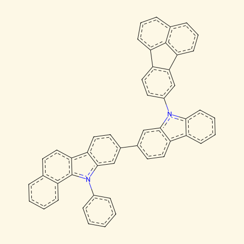 c1ccc(-n2c3cc(-c4ccc5c6ccccc6n(-c6ccc7c(c6)-c6cccc8cccc-7c68)c5c4)ccc3c3ccc4ccccc4c32)cc1